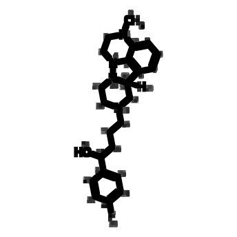 CN1CCN2c3c(cccc31)[C@@H]1CN(CCCC(O)c3ccc(F)cc3)CCN12